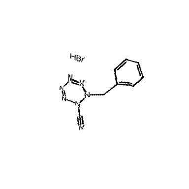 Br.N#CN1N=NN=NN1Cc1ccccc1